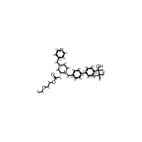 CCOCCOC(=O)C[C@@H]1CN(Cc2ccncc2)CCN1Cc1ccc(-c2ccc(C(C)(O)C(F)(F)F)cc2)cc1